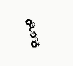 Fc1ccccc1OC1CCN(CC2COc3ccccc32)CC1